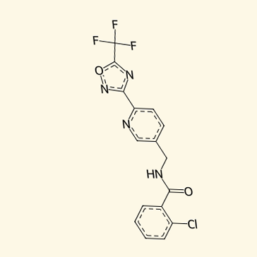 O=C(NCc1ccc(-c2noc(C(F)(F)F)n2)nc1)c1ccccc1Cl